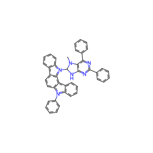 CN1c2c(nc(-c3ccccc3)nc2-c2ccccc2)NC1n1c2ccccc2c2ccc3c(c4ccccc4n3-c3ccccc3)c21